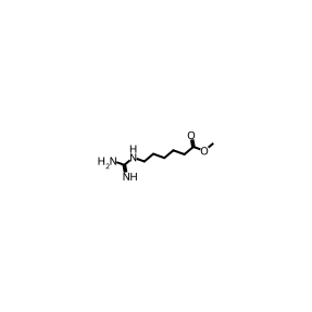 COC(=O)CCCCCNC(=N)N